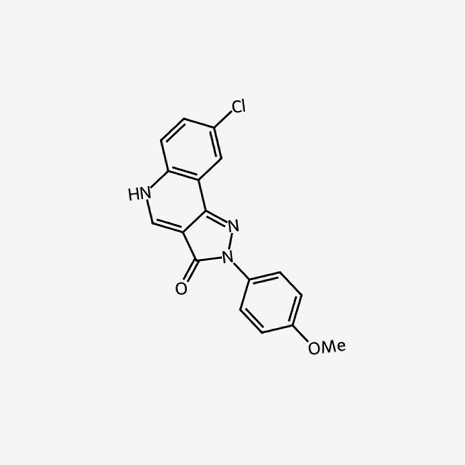 COc1ccc(-n2nc3c4cc(Cl)ccc4[nH]cc-3c2=O)cc1